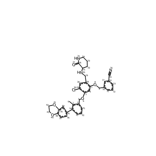 Cc1c(COc2cc(OCc3cccc(C#N)c3)c(CNC3CCCNC3=O)cc2Cl)cccc1-c1ccc2c(c1)OCCO2